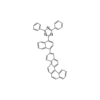 c1ccc(-c2nc(-c3ccccc3)nc(-c3ccc(-c4ccc5c(ccc6c5ccc5ccc7ccccc7c56)c4)c4ccccc34)n2)cc1